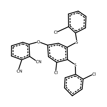 N#Cc1cccc(Oc2cc(Cl)c(Sc3ccccc3Cl)c(Sc3ccccc3Cl)c2)c1C#N